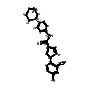 N#Cc1cc(Br)ccc1-n1cc(C(=O)Nc2ccc([C@H]3CNCCO3)cc2)cn1